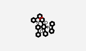 c1ccc(-c2ccc(N(c3ccccc3-c3ccccc3)c3cccc4oc5c(-n6c7ccccc7c7ccccc76)c6c(cc5c34)oc3ccccc36)cc2)cc1